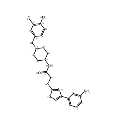 Nc1cncc(-c2csc(SCC(=O)NC3CCN(Cc4ccc(Cl)c(Cl)c4)CC3)n2)c1